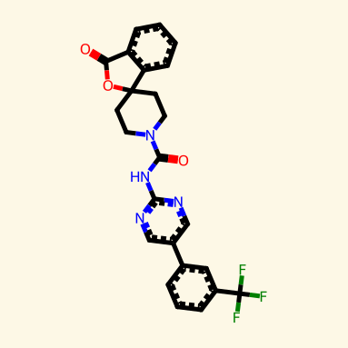 O=C1OC2(CCN(C(=O)Nc3ncc(-c4cccc(C(F)(F)F)c4)cn3)CC2)c2ccccc21